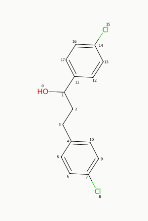 OC(CCc1ccc(Cl)cc1)c1ccc(Cl)cc1